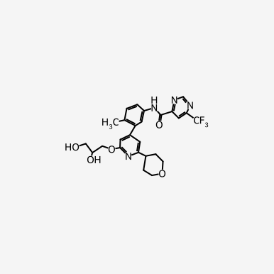 Cc1ccc(NC(=O)c2cc(C(F)(F)F)ncn2)cc1-c1cc(OCC(O)CO)nc(C2CCOCC2)c1